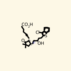 CC1(C)C[C@H](/C=C/C(O)CCc2sc3ccccc3c2Cl)[C@@H](CC#CCCCC(=O)O)C1=O